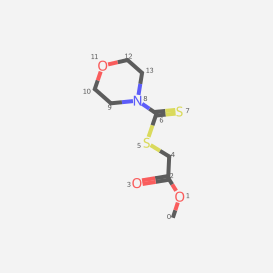 COC(=O)CSC(=S)N1CCOCC1